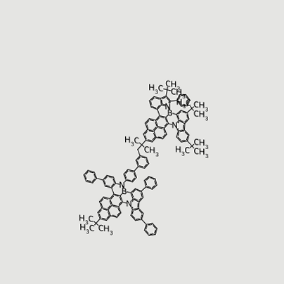 CC(C)(C)c1cc2ccc3c4c5c(c6ccc(c1)c2c36)-n1c2ccc(-c3ccccc3)cc2c2cc(-c3ccccc3)cc(c21)B5N(c1ccc(-c2cccc(CC(C)(C)c3cc5ccc6c7c8c(c9ccc(c3)c5c69)-n3c5ccc(C(C)(C)C)cc5c5cc(C(C)(C)C)cc(c53)B8n3c(-c5ccccc5)c(C(C)(C)C)c5cccc-7c53)c2)cc1)c1ccc(-c2ccccc2)cc1-4